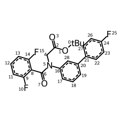 CC(C)(C)OC(=O)CN(C(=O)c1c(F)cccc1F)c1cccc(-c2ccc(F)cc2)c1